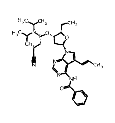 C/C=C/c1cn([C@H]2C[C@H](O[P@](CCC#N)N(C(C)C)C(C)C)[C@@H](CC)O2)c2ncnc(NC(=O)c3ccccc3)c12